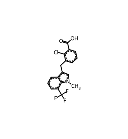 Cn1cc(Cc2cccc(C(=O)O)c2Cl)c2cccc(C(F)(F)F)c21